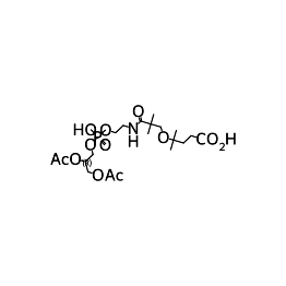 CC(=O)OC[C@H](COP(=O)(O)OCCNC(=O)C(C)(C)COC(C)(C)CCC(=O)O)OC(C)=O